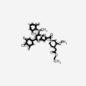 CCOC(=O)CC1CCN(C(=O)c2cc3nc(-c4cc(F)c(Cl)c(F)c4)cc(N(C)c4c(C)cccc4F)n3n2)CC1OC